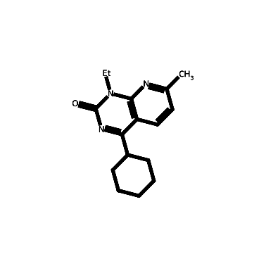 CCn1c(=O)nc(C2CCCCC2)c2ccc(C)nc21